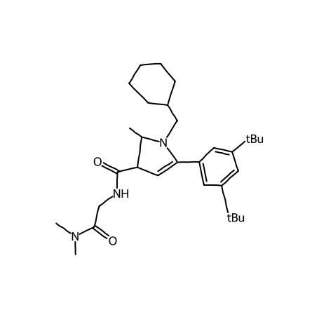 CC1C(C(=O)NCC(=O)N(C)C)C=C(c2cc(C(C)(C)C)cc(C(C)(C)C)c2)N1CC1CCCCC1